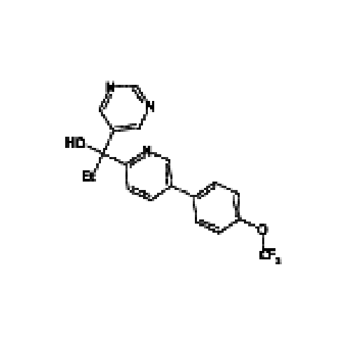 CCC(O)(c1cncnc1)c1ccc(-c2ccc(OC(F)(F)F)cc2)cn1